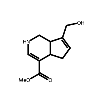 COC(=O)C1=CNCC2C(CO)=CCC12